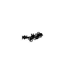 COc1cc2c(Oc3cccc(NS(=O)(=O)c4ccc(C)s4)c3)ccnc2cc1OCCCN1CCN(C)CC1